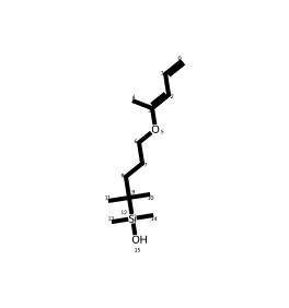 C=C/C=C(\C)OCCCC(C)(C)[Si](C)(C)O